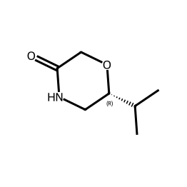 CC(C)[C@@H]1CNC(=O)CO1